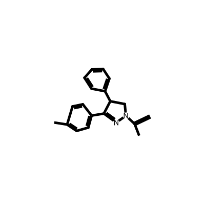 C=C(C)N1CC(c2ccccc2)C(c2ccc(C)cc2)=N1